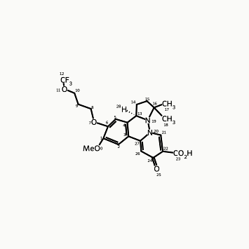 COc1cc2c(cc1OCCCOC(F)(F)F)[C@H]1CCC(C)(C)N1n1cc(C(=O)O)c(=O)cc1-2